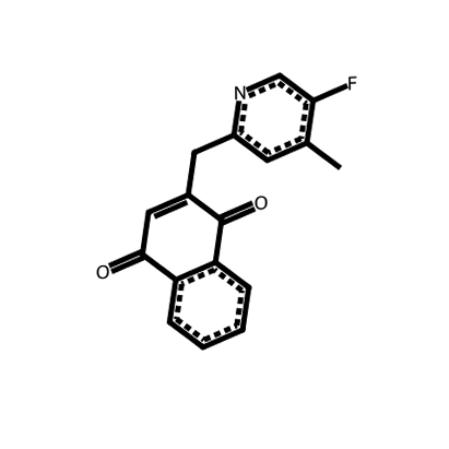 Cc1cc(CC2=CC(=O)c3ccccc3C2=O)ncc1F